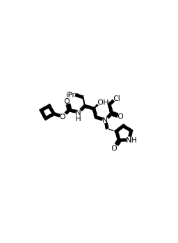 CC(C)C[C@H](NC(=O)OC1CCC1)[C@@H](O)CN(C[C@@H]1CCNC1=O)C(=O)CCl